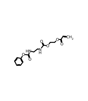 C=CC(=O)OCCOC(=O)NCCNC(=O)Oc1ccccc1